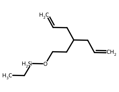 C=CCC(CC=C)CCO[SiH2]CC